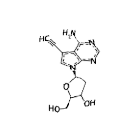 C#Cc1cn([C@H]2CC(O)[C@@H](CO)O2)c2ncnc(N)c12